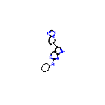 c1nc2ccc(-c3c[nH]c4nc(NC5CCCCC5)ncc34)cn2n1